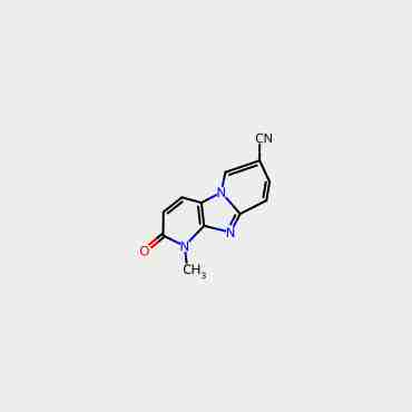 Cn1c(=O)ccc2c1nc1ccc(C#N)cn12